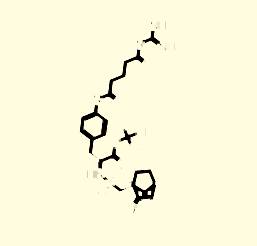 CC(C)(C)OC(=O)[C@H](Cc1ccc(NC(=O)CCCC(=O)NC(=N)N)cc1)NS(=O)(=O)C[C@]12CCC(CC1=O)C2(C)C